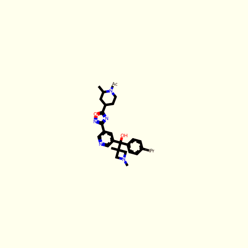 CC(=O)N1CCC(c2nc(-c3cncc(C(O)(c4ccc(C(C)C)cc4)C4(C)CN(C)C4)c3)no2)CC1C